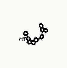 c1ccc(C2Nc3ccc4ccc5cc(-c6cccc(-c7cc8ccccc8c8ccccc78)c6)ccc5c4c3S2)cc1